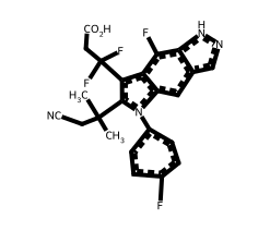 CC(C)(CC#N)c1c(C(F)(F)CC(=O)O)c2c(F)c3[nH]ncc3cc2n1-c1ccc(F)cc1